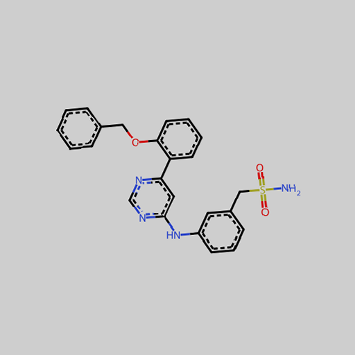 NS(=O)(=O)Cc1cccc(Nc2cc(-c3ccccc3OCc3ccccc3)ncn2)c1